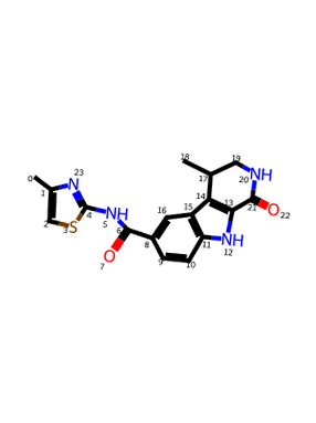 Cc1csc(NC(=O)c2ccc3[nH]c4c(c3c2)C(C)CNC4=O)n1